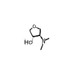 CN(C)[C@@H]1COC[C@H]1O